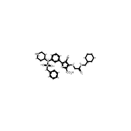 O=C(COc1c(C(=O)O)sc(-c2cccc(N(C3CCNCC3)S(=O)(=O)Cc3ccccc3)c2)c1Br)OCC1CCCCC1